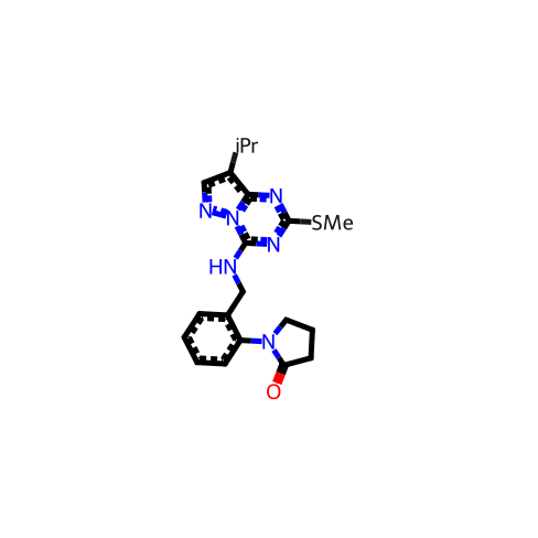 CSc1nc(NCc2ccccc2N2CCCC2=O)n2ncc(C(C)C)c2n1